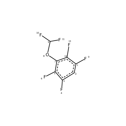 Fc1[c]c(F)c(F)c(OC(F)F)c1F